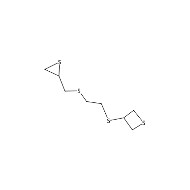 C(CSC1CSC1)SCC1CS1